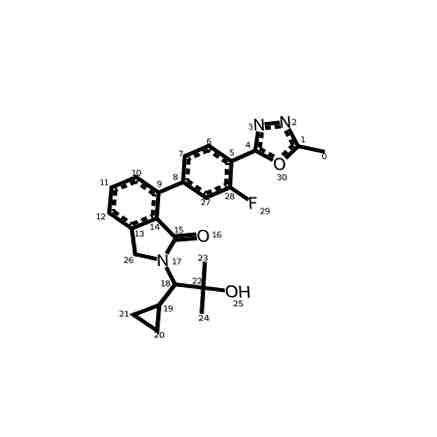 Cc1nnc(-c2ccc(-c3cccc4c3C(=O)N(C(C3CC3)C(C)(C)O)C4)cc2F)o1